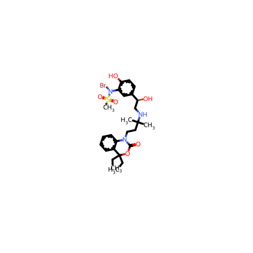 CCC1(CC)OC(=O)N(CCC(C)(C)NC[C@H](O)c2ccc(O)c(N(Br)S(C)(=O)=O)c2)c2ccccc21